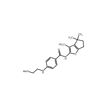 COCCNc1ccc(C(=O)Nc2sc3c(c2C(=O)O)C(C)(C)CC3)cc1